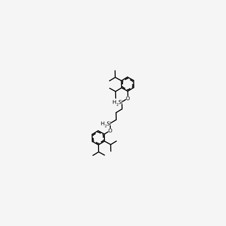 CC(C)c1cccc(O[SiH2]CCC[SiH2]Oc2cccc(C(C)C)c2C(C)C)c1C(C)C